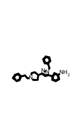 Nc1cccc(-c2cc(C3CCN(CCc4ccccc4)CC3)nn2Cc2ccccc2)c1